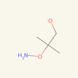 CC(C)(C[O])ON